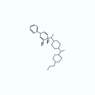 CCCC1CCC(C(C)C2CCC(C(C)C3(F)C=CC(c4ccccc4)C=C3F)CC2)CC1